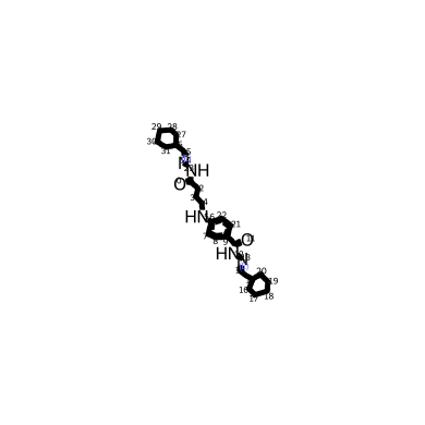 O=C(CCCNc1ccc(C(=O)N/N=C/C2CCCCC2)cc1)N/N=C/C1CCCCC1